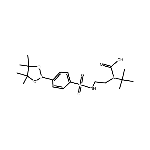 CC(C)(C)N(CCNS(=O)(=O)c1ccc(B2OC(C)(C)C(C)(C)O2)cc1)C(=O)O